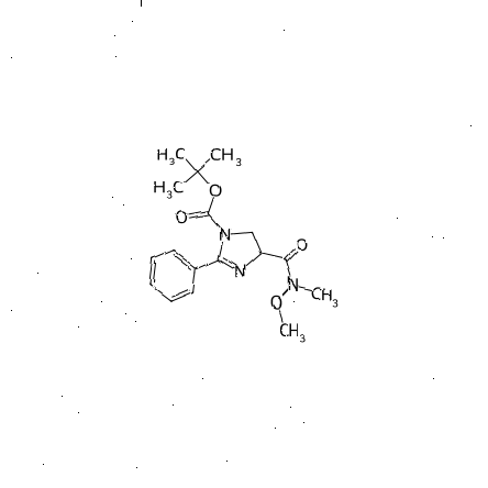 CON(C)C(=O)C1CN(C(=O)OC(C)(C)C)C(c2ccccc2)=N1